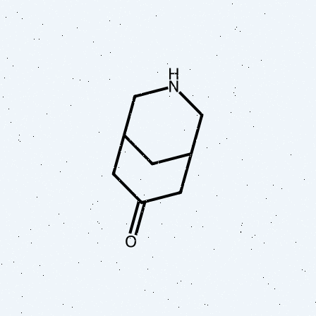 O=C1CC2CNCC(C1)C2